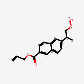 C=CCOC(=O)c1ccc2cc(C(C)COO)ccc2c1